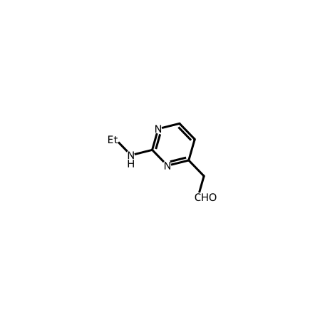 CCNc1nccc(CC=O)n1